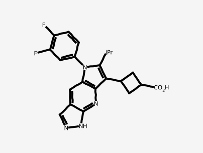 CC(C)c1c(C2CC(C(=O)O)C2)c2nc3[nH]ncc3cc2n1-c1ccc(F)c(F)c1